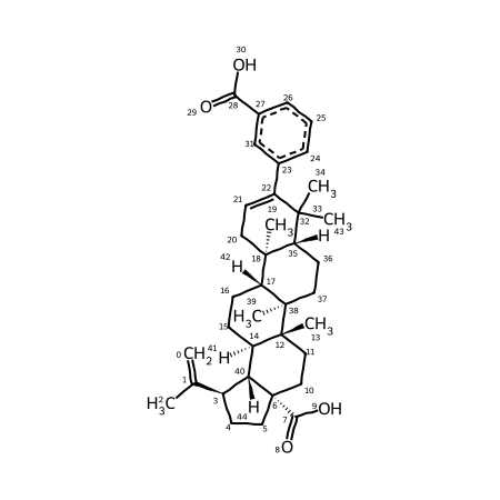 C=C(C)[C@@H]1CC[C@]2(C(=O)O)CC[C@]3(C)[C@H](CC[C@@H]4[C@@]5(C)CC=C(c6cccc(C(=O)O)c6)C(C)(C)[C@@H]5CC[C@]43C)[C@@H]12